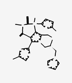 Cc1csc(-c2c3c(c4n2C[C@H](Cn2ccnc2)SC4)[N+](C)(c2ccc(Cl)o2)C(=O)N(C)C3=O)n1